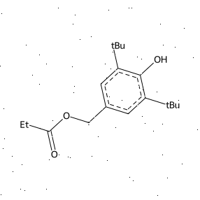 CCC(=O)O[CH]c1cc(C(C)(C)C)c(O)c(C(C)(C)C)c1